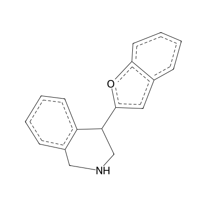 c1ccc2c(c1)CNCC2c1cc2ccccc2o1